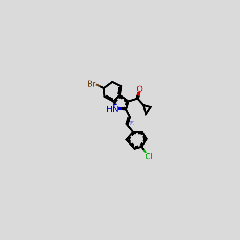 O=C(c1c(/C=C/c2ccc(Cl)cc2)[nH]c2c1=CCC(Br)C=2)C1CC1